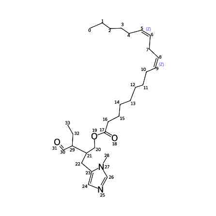 CCCCC/C=C\C/C=C\CCCCCCCC(=O)OCC(Cc1cncn1C)C(C=O)CC